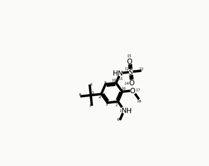 CNc1cc(C(C)(C)C)cc(NS(C)(=O)=O)c1OC